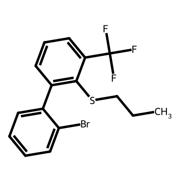 CCCSc1c(-c2ccccc2Br)cccc1C(F)(F)F